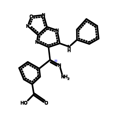 N/N=C(\c1cccc(C(=O)O)c1)c1nc2nonc2nc1Nc1ccccc1